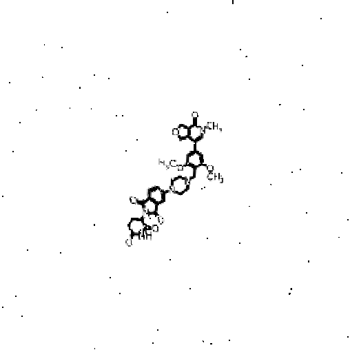 COc1cc(-c2cn(C)c(=O)c3c2COC3)cc(OC)c1CN1CCN(c2ccc3c(c2)C(=O)N(C2CCC(=O)NC2=O)C3=O)CC1